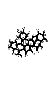 CC(C)C1B2C(C(C)C(C)C(C)[C@@H]2C)C2C3C(C(C)C(C)[C@H](C)C3C)C3C4CC5C(C)C(C)C(C)C6C(C)C(C)C(C4C56)C4C(C)C(C)C1C2[C@H]43